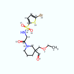 CCOCC1(C=O)CCCN(C(=O)CNS(=O)(=O)c2ccc(Br)s2)C1